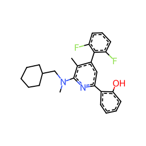 Cc1c(-c2c(F)cccc2F)cc(-c2ccccc2O)nc1N(C)CC1CCCCC1